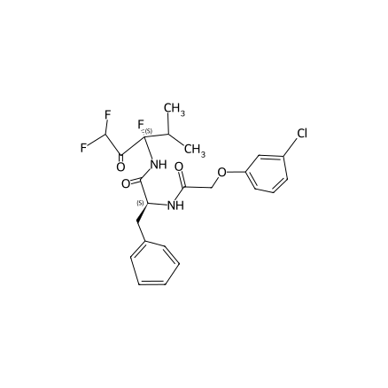 CC(C)[C@@](F)(NC(=O)[C@H](Cc1ccccc1)NC(=O)COc1cccc(Cl)c1)C(=O)C(F)F